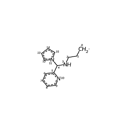 [CH2]CCNC(c1ccccn1)n1cccc1